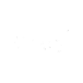 O=C(O)Cn1cncc(NC(=O)OCc2ccccc2)c1=O